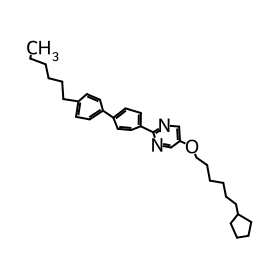 CCCCCCc1ccc(-c2ccc(-c3ncc(OCCCCCCC4CCCC4)cn3)cc2)cc1